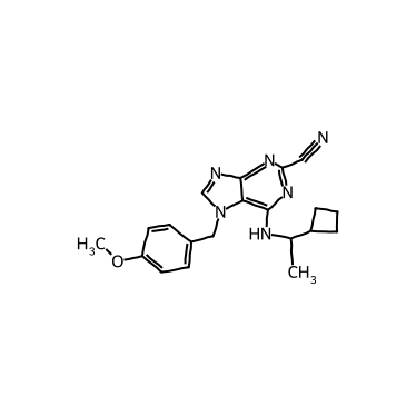 COc1ccc(Cn2cnc3nc(C#N)nc(NC(C)C4CCC4)c32)cc1